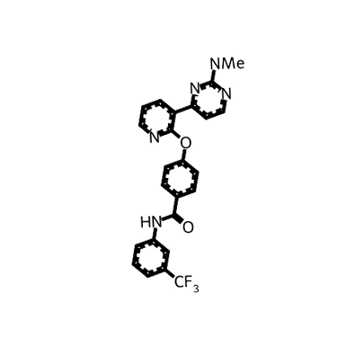 CNc1nccc(-c2cccnc2Oc2ccc(C(=O)Nc3cccc(C(F)(F)F)c3)cc2)n1